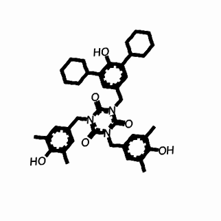 Cc1cc(Cn2c(=O)n(Cc3cc(C)c(O)c(C)c3)c(=O)n(Cc3cc(C4CCCCC4)c(O)c(C4CCCCC4)c3)c2=O)cc(C)c1O